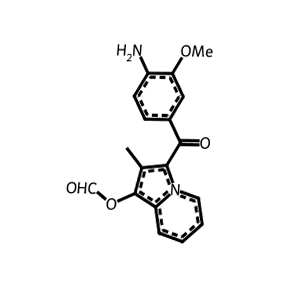 COc1cc(C(=O)c2c(C)c(OC=O)c3ccccn23)ccc1N